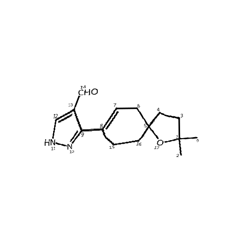 CC1(C)CCC2(CC=C(c3n[nH]cc3C=O)CC2)O1